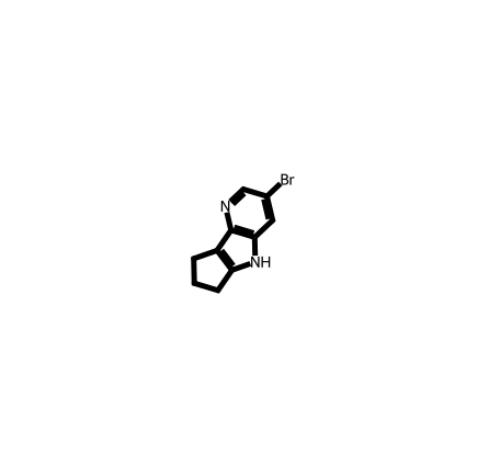 Brc1cnc2c3c([nH]c2c1)CCC3